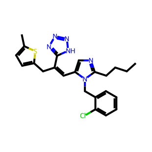 CCCCc1ncc(C=C(Cc2ccc(C)s2)c2nnn[nH]2)n1Cc1ccccc1Cl